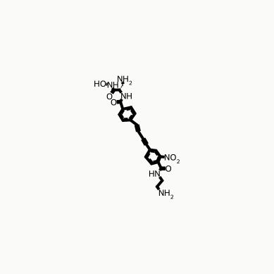 NCCNC(=O)c1ccc(C#CC#Cc2ccc(C(=O)N[C@@H](CN)C(=O)NO)cc2)cc1[N+](=O)[O-]